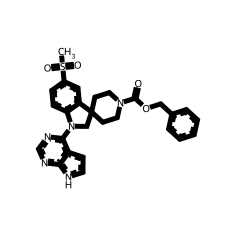 CS(=O)(=O)c1ccc2c(c1)C1(CCN(C(=O)OCc3ccccc3)CC1)CN2c1ncnc2[nH]ccc12